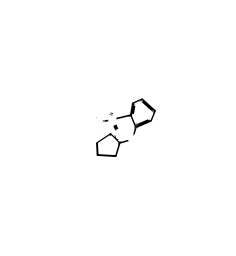 O=S(=O)(NO)c1ccccc1SC1CCCC1